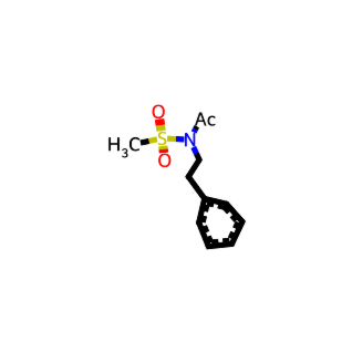 CC(=O)N(CCc1ccccc1)S(C)(=O)=O